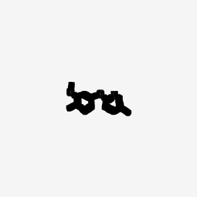 COc1cc(Oc2ccc(C)cn2)ccc1C